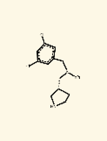 CCCN(Cc1cc(Cl)cc(Cl)c1)C[C@@H]1CCNC1